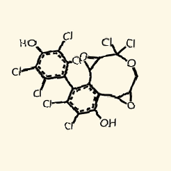 Oc1c(Cl)c(Cl)c(-c2c(Cl)c(Cl)c(O)c3c2C2OC2C(Cl)(Cl)OCC2OC32)c(Cl)c1Cl